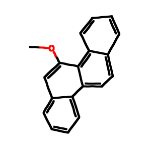 COc1cc2ccccc2c2ccc3ccccc3c12